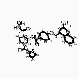 Cc1cc(COc2ccc(C(=O)N[C@@H]3CN(C(=O)c4cccs4)CC[C@@H]3C(=O)NO)cc2)c2ccccc2n1